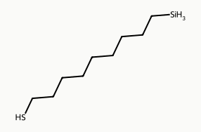 [SiH3]CCCCCCCCCS